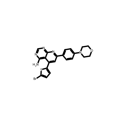 Nc1ncnc2nc(-c3ccc(N4CCOCC4)cc3)cc(-c3ccc(Br)s3)c12